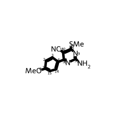 COc1ccc(-c2nc(N)nc(SC)c2C#N)cc1